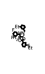 CCSc1cccc(C(=O)O[C@H](CNCc2cccc(CC)c2)[C@@H](N)Cc2cc(F)cc(F)c2)c1